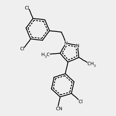 Cc1nn(Cc2cc(Cl)cc(Cl)c2)c(C)c1-c1ccc(C#N)c(Cl)c1